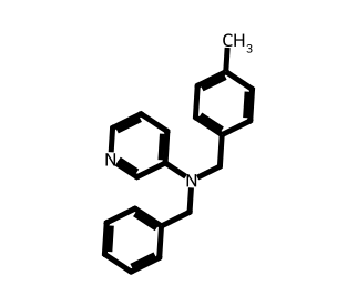 Cc1ccc(CN(Cc2ccccc2)c2cccnc2)cc1